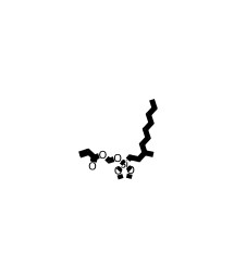 C=CC(=O)OCO[Si](CCC(C)CCCCCCC)(OC)OC